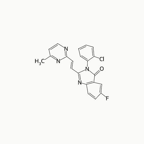 Cc1ccnc(C=Cc2nc3ccc(F)cc3c(=O)n2-c2ccccc2Cl)n1